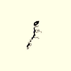 C/C(=C\COCOC(=O)CBr)CC/C=C(\C)CNc1ccccc1